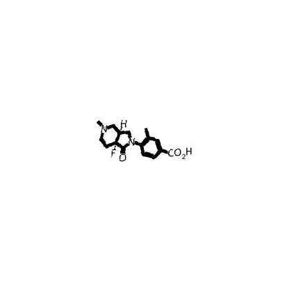 Cc1cc(C(=O)O)ccc1N1C[C@@H]2CN(C)CC[C@]2(F)C1=O